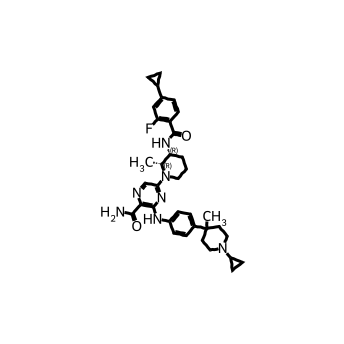 C[C@@H]1[C@H](NC(=O)c2ccc(C3CC3)cc2F)CCCN1c1cnc(C(N)=O)c(Nc2ccc(C3(C)CCN(C4CC4)CC3)cc2)n1